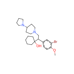 COc1ccc(C(CN2CCC(N3CCCC3)CC2)C2(O)CCCCC2)cc1Br